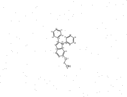 OCOc1ccc2cc(-c3ccccc3)n(-c3ccccc3)c2c1